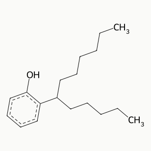 CCCCCCC(CCCCC)c1ccccc1O